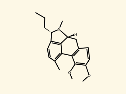 CCC[C@H]1c2ccc(C)c3c2[C@@H](Cc2ccc(OC)c(OC)c2-3)N1C